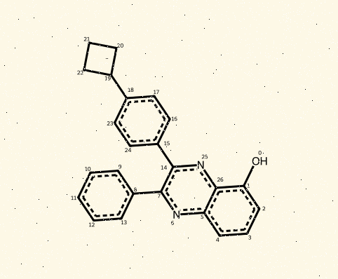 Oc1cccc2nc(-c3ccccc3)c(-c3ccc(C4CCC4)cc3)nc12